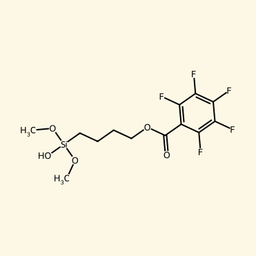 CO[Si](O)(CCCCOC(=O)c1c(F)c(F)c(F)c(F)c1F)OC